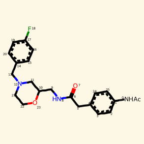 CC(=O)Nc1ccc(CC(=O)NCC2CN(Cc3ccc(F)cc3)CCO2)cc1